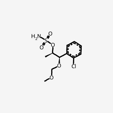 COCO[C@H](c1ccccc1Cl)[C@@H](C)OS(N)(=O)=O